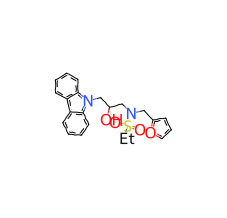 CCS(=O)(=O)N(Cc1ccco1)CC(O)Cn1c2ccccc2c2ccccc21